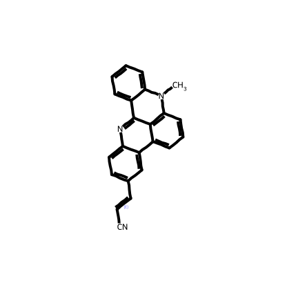 CN1c2ccccc2-c2nc3ccc(/C=C/C#N)cc3c3cccc1c23